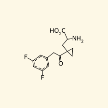 NC(CC1(C(=O)Cc2cc(F)cc(F)c2)CC1)C(=O)O